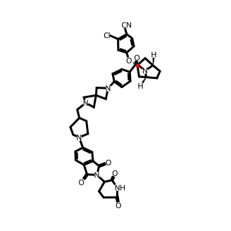 N#Cc1ccc(O[C@H]2C[C@H]3CC[C@@H](C2)N3C(=O)c2ccc(N3CC4(CN(CC5CCN(c6ccc7c(c6)C(=O)N(C6CCC(=O)NC6=O)C7=O)CC5)C4)C3)cc2)cc1Cl